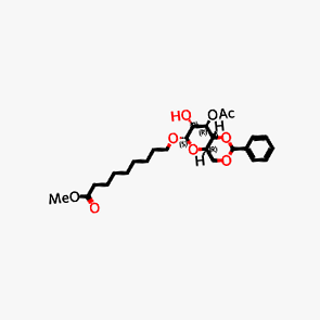 COC(=O)CCCCCCCCO[C@H]1O[C@@H]2COC(c3ccccc3)O[C@H]2[C@H](OC(C)=O)[C@H]1O